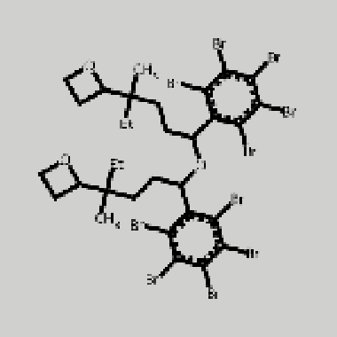 CCC(C)(CCC(OC(CCC(C)(CC)C1CCO1)c1c(Br)c(Br)c(Br)c(Br)c1Br)c1c(Br)c(Br)c(Br)c(Br)c1Br)C1CCO1